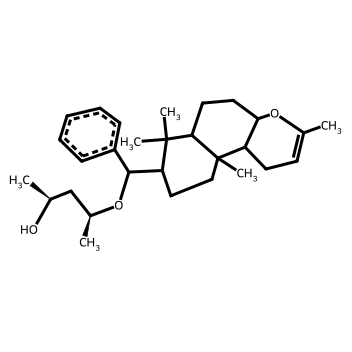 CC1=CCC2C(CCC3C(C)(C)C(C(O[C@@H](C)C[C@H](C)O)c4ccccc4)CCC23C)O1